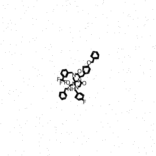 O=C1C(Cc2ccc(OCc3ccccc3)cc2)N2C(=O)CN(Cc3ccc(F)cc3)N(C(=O)NCc3ccccc3)C2CN1Cc1cccc(C(F)(F)F)c1